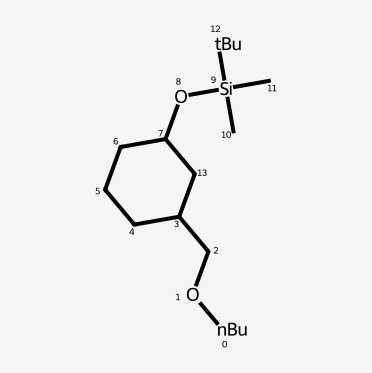 CCCCOCC1CCCC(O[Si](C)(C)C(C)(C)C)C1